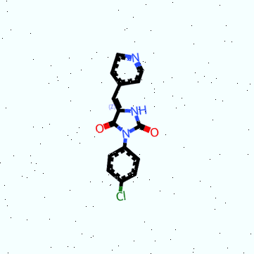 O=C1N/C(=C\c2ccncc2)C(=O)N1c1ccc(Cl)cc1